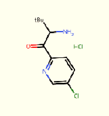 CC(C)(C)C(N)C(=O)c1ccc(Cl)cn1.Cl